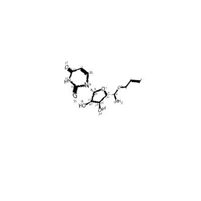 C=CCOC(N)[C@H]1O[C@@H](n2ccc(=O)[nH]c2=O)[C@H](O)[C@@H]1O